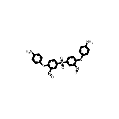 Nc1ccc(Sc2ccc(S(=O)(=O)c3ccc(Sc4ccc(N)cc4)c(N=O)c3)cc2N=O)cc1